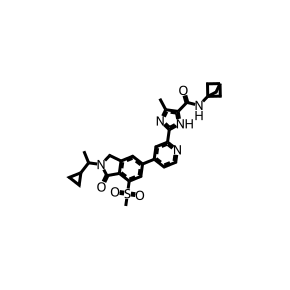 Cc1nc(-c2cc(-c3cc4c(c(S(C)(=O)=O)c3)C(=O)N(C(C)C3CC3)C4)ccn2)[nH]c1C(=O)NC12CC(C1)C2